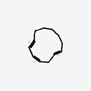 [C]1=C\C=C\CCCCC/C=C/C/1